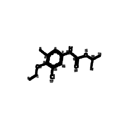 CCOc1c(C)cc(NC(=O)OC(C)C)cc1Cl